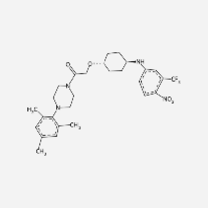 Cc1cc(C)c(N2CCN(C(=O)CO[C@H]3CC[C@H](Nc4ccc([N+](=O)[O-])c(C(F)(F)F)c4)CC3)CC2)c(C)c1